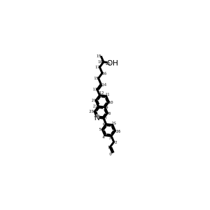 C=CCc1ccc(-c2cc3ccc(/C=C/CCCC(C)O)cc3cn2)cc1